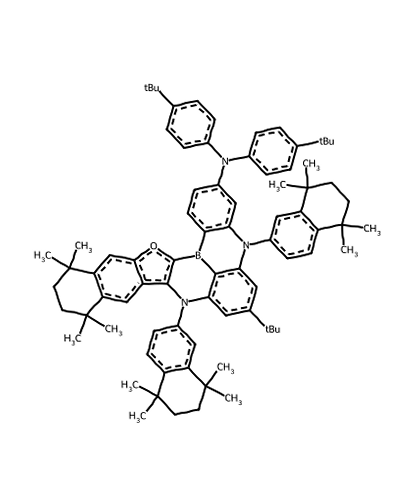 CC(C)(C)c1ccc(N(c2ccc(C(C)(C)C)cc2)c2ccc3c(c2)N(c2ccc4c(c2)C(C)(C)CCC4(C)C)c2cc(C(C)(C)C)cc4c2B3c2oc3cc5c(cc3c2N4c2ccc3c(c2)C(C)(C)CCC3(C)C)C(C)(C)CCC5(C)C)cc1